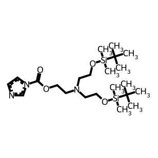 CC(C)(C)[Si](C)(C)OCCN(CCOC(=O)n1ccnc1)CCO[Si](C)(C)C(C)(C)C